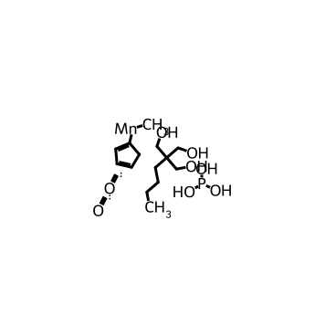 CCCCC(CO)(CO)CO.OP(O)O.[CH3][Mn][C]1=CC=CC1.[C]=O.[C]=O